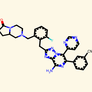 N#Cc1cccc(-c2nc(N)c3nc(Cc4c(F)cccc4CN4CCN5C(=O)CCC5C4)nn3c2-c2ccncn2)c1